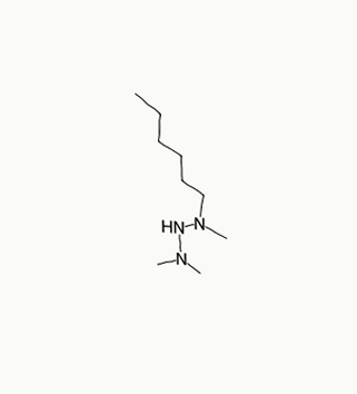 CCCCCCN(C)NN(C)C